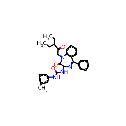 CCC(CC)C(=O)CN1C(=O)C(NC(=O)Nc2cccc(C)c2)N=C(c2ccccc2)c2ccccc21